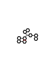 c1ccc(-c2cccc3cccc(-c4cccc(N(c5ccc(-c6cccc7ccccc67)cc5)c5cccc6ccccc56)c4)c23)cc1